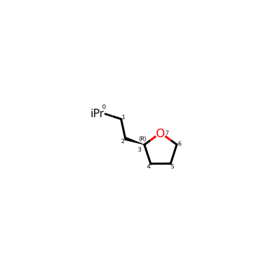 CC(C)CC[C@@H]1CCCO1